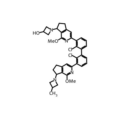 COc1nc(-c2cccc(-c3cccc(-c4cc5c(c(OC)n4)C(N4CC(O)C4)CC5)c3Cl)c2Cl)cc2c1C(N1CC(C)C1)CC2